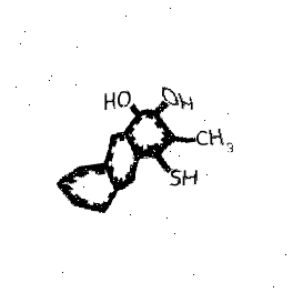 Cc1c(O)c(O)c2cc3ccccc3cc2c1S